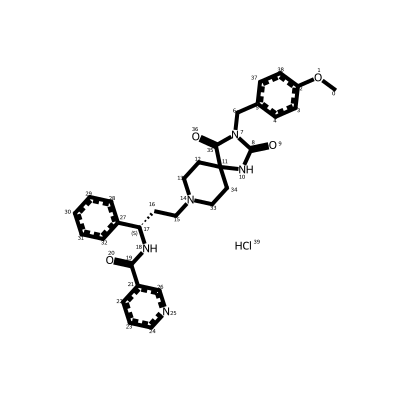 COc1ccc(CN2C(=O)NC3(CCN(CC[C@H](NC(=O)c4cccnc4)c4ccccc4)CC3)C2=O)cc1.Cl